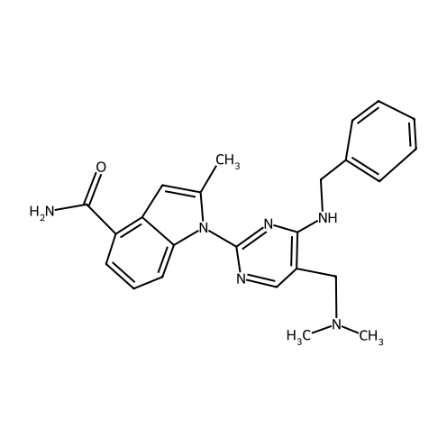 Cc1cc2c(C(N)=O)cccc2n1-c1ncc(CN(C)C)c(NCc2ccccc2)n1